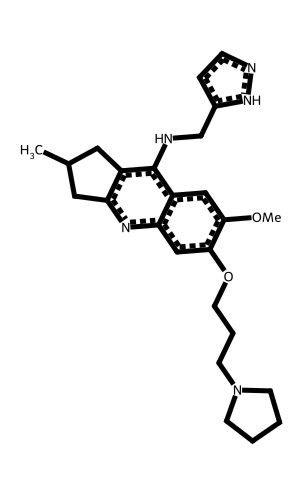 COc1cc2c(NCc3ccn[nH]3)c3c(nc2cc1OCCCN1CCCC1)CC(C)C3